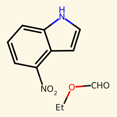 CCOC=O.O=[N+]([O-])c1cccc2[nH]ccc12